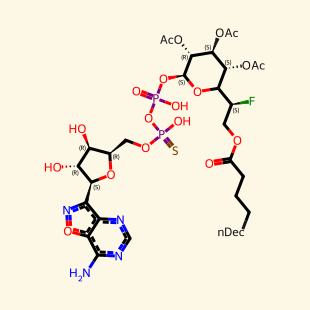 CCCCCCCCCCCCCC(=O)OC[C@H](F)C1O[C@@H](OP(=O)(O)OP(O)(=S)OC[C@H]2O[C@@H](c3noc4c(N)ncnc34)[C@H](O)[C@H]2O)[C@H](OC(C)=O)[C@@H](OC(C)=O)[C@@H]1OC(C)=O